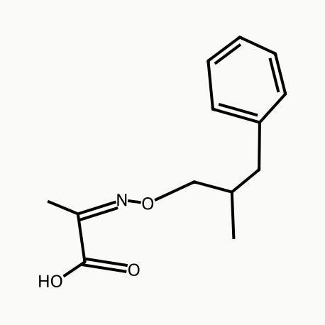 CC(=NOCC(C)Cc1ccccc1)C(=O)O